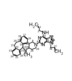 C=CCNc1nc(N2CCC(N(C)C3c4ccccc4CCc4ccccc43)CC2)nc2c1nnn2CC=C